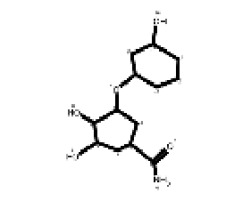 NC(=O)C1CC(O)C(O)C(OC2CCCC(O)C2)C1